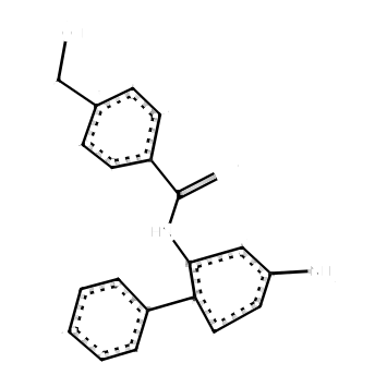 Nc1ccc(-c2ccccc2)c(NC(=O)c2ccc(CO)cc2)c1